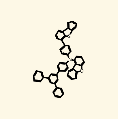 c1ccc(-c2cc(-c3ccccc3)cc(-c3ccc(N(c4ccc(-c5cccc6c5sc5ccccc56)cc4)c4cccc5oc6ccccc6c45)cc3)c2)cc1